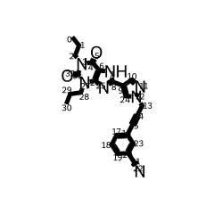 CCCn1c(=O)c2[nH]c(-c3cnn(CC#Cc4cccc(C#N)c4)c3)nc2n(CCC)c1=O